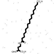 O=[C]C(CCNC(=O)CCCCCCCCCCCCCCCCC(=O)O)C(=O)O